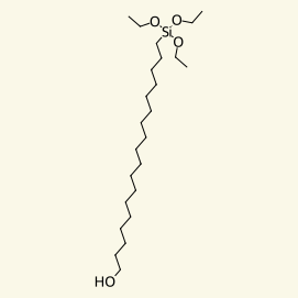 CCO[Si](CCCCCCCCCCCCCCCCCCO)(OCC)OCC